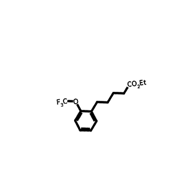 CCOC(=O)CCCCc1ccccc1OC(F)(F)F